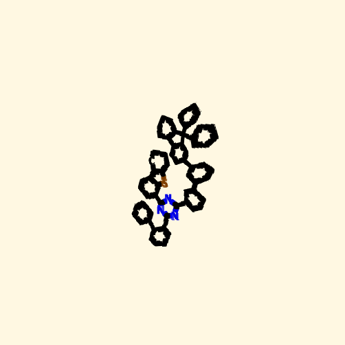 c1ccc(-c2ccccc2-c2nc(-c3cccc(-c4cccc(-c5ccc6c(c5)C(c5ccccc5)(c5ccccc5)c5ccccc5-6)c4)c3)nc(-c3cccc4c3sc3ccccc34)n2)cc1